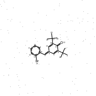 CC(C)(C)C1=CC(=Cc2ccccc2Br)C=C(C(C)(C)C)C1=O